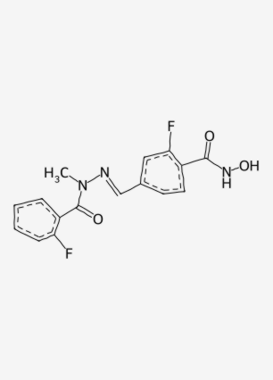 CN(/N=C/c1ccc(C(=O)NO)c(F)c1)C(=O)c1ccccc1F